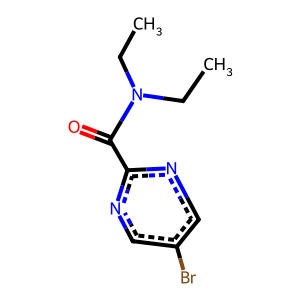 CCN(CC)C(=O)c1ncc(Br)cn1